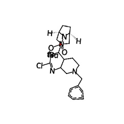 CC(C)(C)OC(=O)N1[C@@H]2CC[C@H]1CN(C1=NC(Cl)=NC3CN(Cc4ccccc4)CCC13)C2